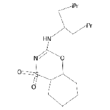 CC(C)CC(CC(C)C)NC1=NS(=O)(=O)C2CCCCC2O1